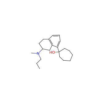 CCCN(C)C1CCc2cccc(C3(O)CCCCCC3)c2C1